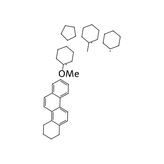 C1CCCC1.CO[C]1CCCCC1.C[C]1CCCCC1.[CH]1CCCCC1.c1ccc2c(c1)ccc1c3c(ccc12)CCCC3